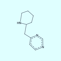 c1cc(CC2CCCCN2)ncn1